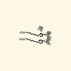 CCCCCCCCCCCCCCCCCC[n+]1ccc(CC[Si](OCC)(OCC)OCC)cc1.CCCCCCCCCCCCCCCCCC[n+]1ccc(CC[Si](OCC)(OCC)OCC)cc1.O=S(=O)([O-])[O-]